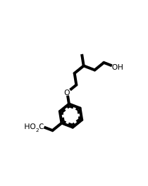 CC(CCO)CCOc1cccc(CC(=O)O)c1